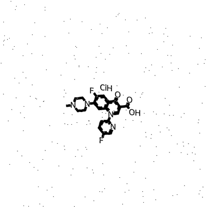 CN1CCN(c2cc3c(cc2F)c(=O)c(C(=O)O)cn3-c2ccc(F)cn2)CC1.Cl